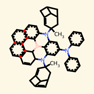 CC1(N2c3cccc(-c4ccccc4)c3B3c4c2cc(N(c2ccccc2)c2ccccc2)cc4N(C2(C)C=C4CC5=CC(C2)C54)C2C=CC=C(c4ccccc4)C32)C=C2CC3CC(C1)C23